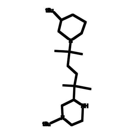 CC(C)(C)C1CCCN(C(C)(C)CCC(C)(C)C2CN(C(C)(C)C)CCN2)C1